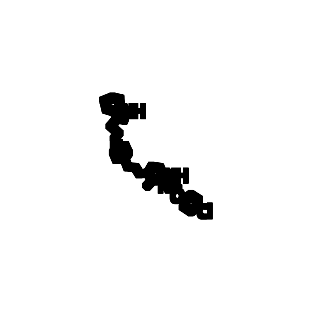 Cc1c(CCCC2CCN(CCCc3c[nH]c4ccccc34)CC2)ccc2[nH]c(COc3ccc(Cl)cc3)nc12